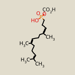 CC(C)=CCCC(C)=CCCC(C)=CCCP(=O)(O)OC(=O)O